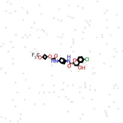 O=C(CO[C@H]1C[C@@H](OC(F)(F)F)C1)NC1CC2CC1CC2NC(=O)[C@H]1C[C@@H](O)c2cc(Cl)ccc2O1